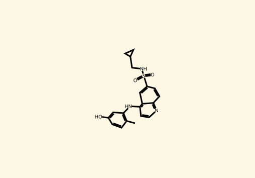 Cc1ccc(O)cc1Nc1ccnc2ccc(S(=O)(=O)NCC3CC3)cc12